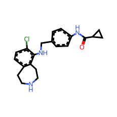 O=C(Nc1ccc(CNc2c(Cl)ccc3c2CCNCC3)cc1)C1CC1